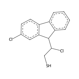 SCC(Cl)C1c2ccccc2-c2ccc(Cl)cc21